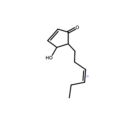 CC/C=C\CCC1C(=O)C=CC1O